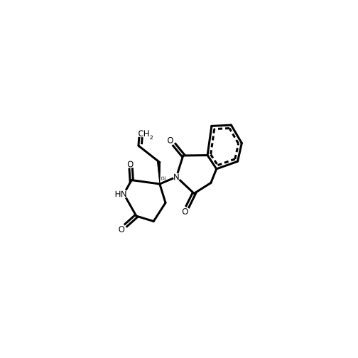 C=CC[C@@]1(N2C(=O)Cc3ccccc3C2=O)CCC(=O)NC1=O